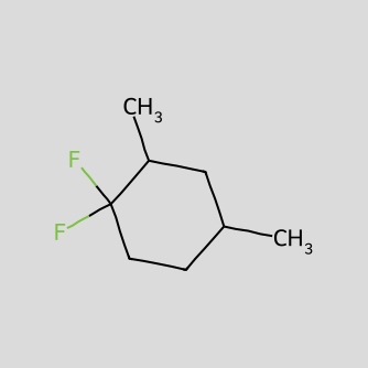 CC1CCC(F)(F)C(C)C1